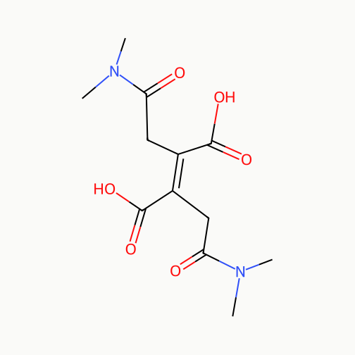 CN(C)C(=O)CC(C(=O)O)=C(CC(=O)N(C)C)C(=O)O